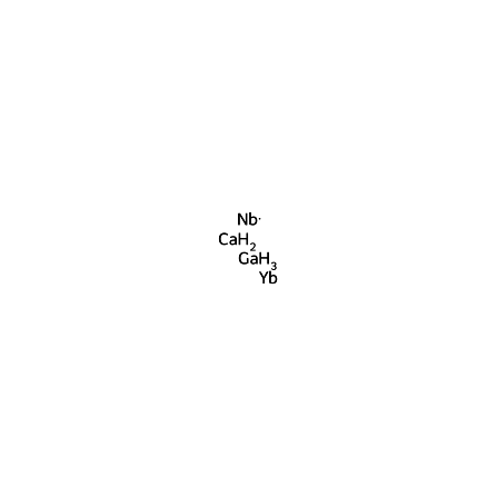 [CaH2].[GaH3].[Nb].[Yb]